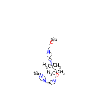 CC(C)(C)OCCCN1CCC2(CC1)CN(C(C)(C)CCC(C)(C)OCCN1CC[C@@H](CN3CCN(C(C)(C)C)CC3)C1)C2